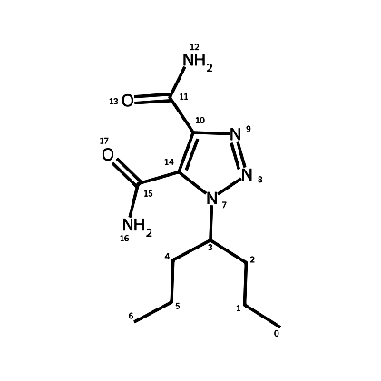 CCCC(CCC)n1nnc(C(N)=O)c1C(N)=O